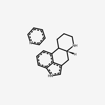 c1cc2c3c(c[nH]c3c1)C[C@H]1NCCCC21.c1ccncc1